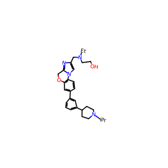 CCN(CCO)Cc1cn2c(n1)COc1cc(-c3cccc(C4CCN(C(C)C)CC4)c3)ccc1-2